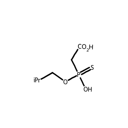 CC(C)COP(O)(=S)CC(=O)O